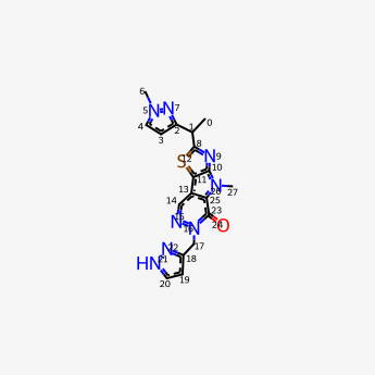 CC(c1ccn(C)n1)c1nc2c(s1)c1cnn(Cc3cc[nH]n3)c(=O)c1n2C